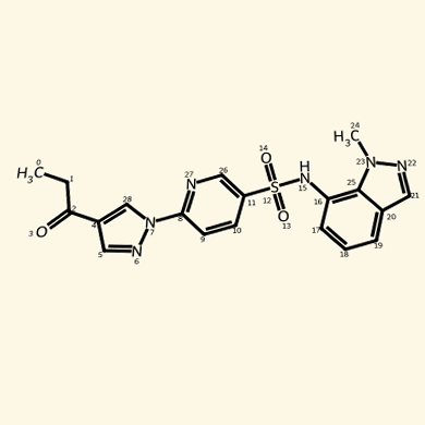 CCC(=O)c1cnn(-c2ccc(S(=O)(=O)Nc3cccc4cnn(C)c34)cn2)c1